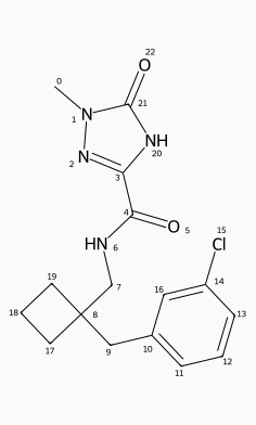 Cn1nc(C(=O)NCC2(Cc3cccc(Cl)c3)CCC2)[nH]c1=O